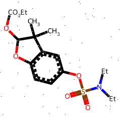 CCOC(=O)OC1Oc2ccc(OS(=O)(=O)N(CC)CC)cc2C1(C)C